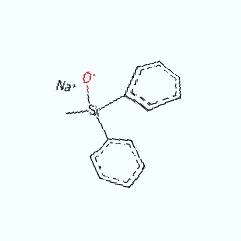 C[Si]([O-])(c1ccccc1)c1ccccc1.[Na+]